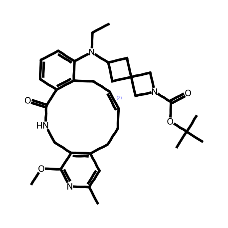 CCN(c1cccc2c1C/C=C\CCc1cc(C)nc(OC)c1CNC2=O)C1CC2(C1)CN(C(=O)OC(C)(C)C)C2